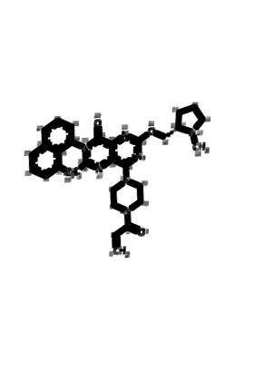 C=CC(=O)N1CCN(c2nc(OC[C@@H]3CCCN3C)nc3c(=O)n(-c4cccc5cccc(C)c45)c(C)nc23)CC1